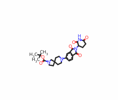 CC(C)(C)OC(=O)N1CCC2(CCN(c3ccc4c(c3)C(=O)N(C3CCC(=O)NC3=O)C4=O)CC2)C1